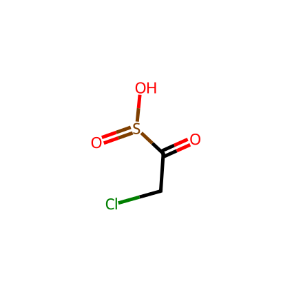 O=C(CCl)S(=O)O